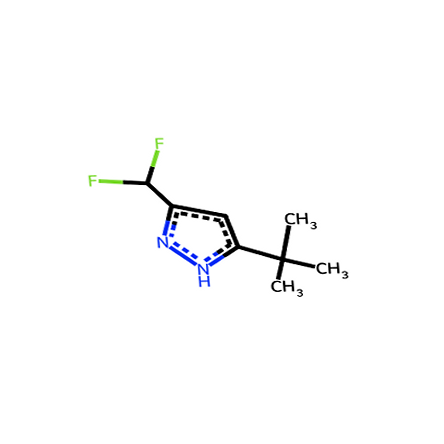 CC(C)(C)c1cc(C(F)F)n[nH]1